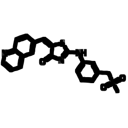 CS(=O)(=O)Cc1cccc(NC2=NC(=O)C(=Cc3ccc4ncccc4c3)S2)c1